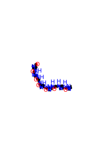 Cn1cc(NC(=O)c2nc(NC(=O)CCNC(=O)c3cc(NC(=O)c4nc(NC(=O)CCNc5cc(NC(=O)c6nccn6C)cn5C)cn4C)cn3C)cn2C)cc1C=O